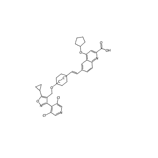 O=C(O)c1cc(OC2CCCC2)c2cc(C=CC34CCC(OCc5c(-c6c(Cl)cncc6Cl)noc5C5CC5)(CC3)CC4)ccc2n1